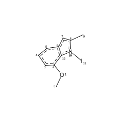 COc1cccc2cc(C)n(I)c12